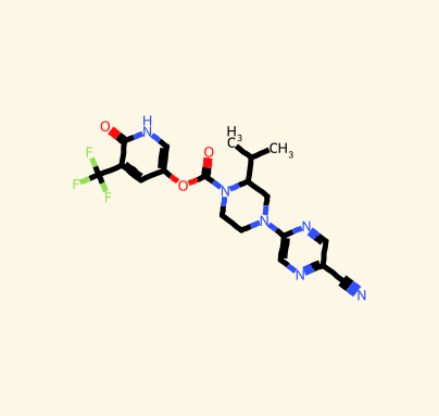 CC(C)C1CN(c2cnc(C#N)cn2)CCN1C(=O)Oc1c[nH]c(=O)c(C(F)(F)F)c1